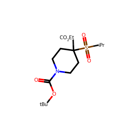 CCOC(=O)C1(S(=O)(=O)C(C)C)CCN(C(=O)OC(C)(C)C)CC1